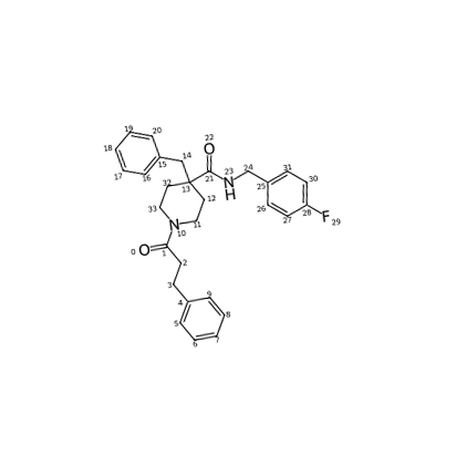 O=C(CCc1ccccc1)N1CCC(Cc2ccccc2)(C(=O)NCc2ccc(F)cc2)CC1